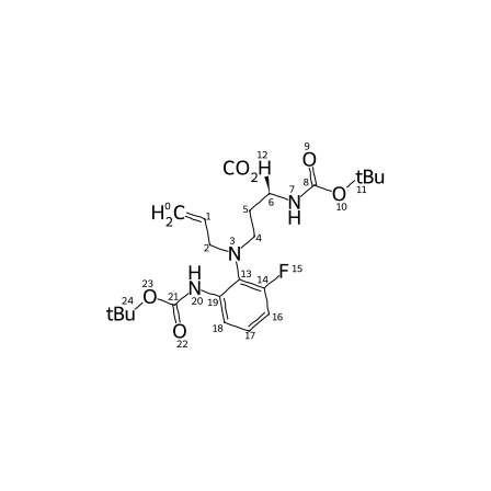 C=CCN(CC[C@H](NC(=O)OC(C)(C)C)C(=O)O)c1c(F)cccc1NC(=O)OC(C)(C)C